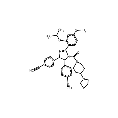 C#Cc1ccc(C2N=C(c3ccc(OC)cc3OC(C)C)N(C(=O)N3CCC(N4CCCC4)CC3)C2c2ccc(C#C)cc2)cc1